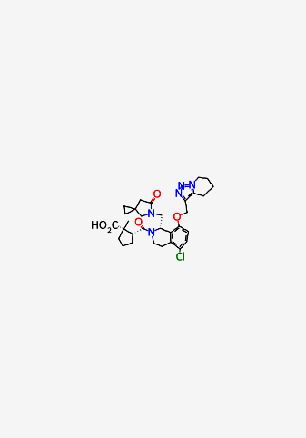 C[C@]1(C(=O)O)CCC[C@H]1C(=O)N1CCc2c(Cl)ccc(OCc3nnn4c3CCCC4)c2[C@H]1CN1CC2(CC2)CC1=O